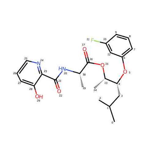 CC(C)C[C@@H](Oc1cccc(F)c1)[C@H](C)OC(=O)[C@H](C)NC(=O)c1ncccc1O